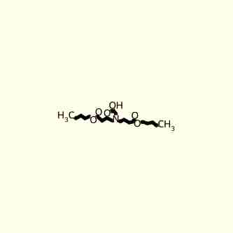 CCCCCOC(=O)CCCN(CCCC(=O)OCCCCC)CC(=O)O